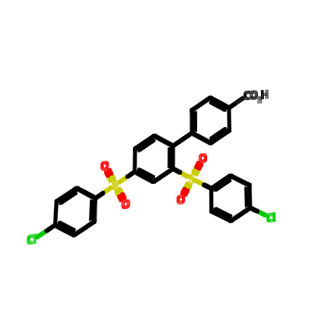 O=C(O)c1ccc(-c2ccc(S(=O)(=O)c3ccc(Cl)cc3)cc2S(=O)(=O)c2ccc(Cl)cc2)cc1